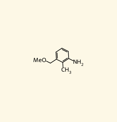 COCc1cccc(N)c1C